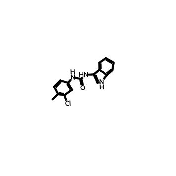 Cc1ccc(NC(=O)Nc2c[nH]c3ccccc23)cc1Cl